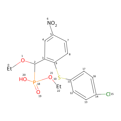 CCOC(c1cc([N+](=O)[O-])ccc1Sc1ccc(Cl)cc1)P(=O)(O)OCC